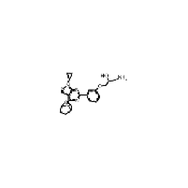 NCC(O)COc1cccc(-c2nc(N3C4CCC3OC4)c3cnn(C4CC4)c3n2)c1